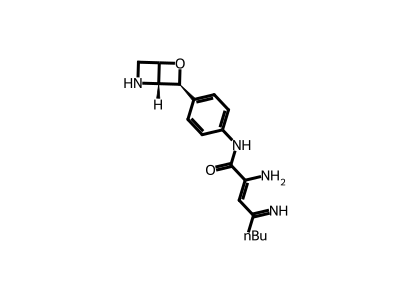 CCCCC(=N)/C=C(\N)C(=O)Nc1ccc([C@@H]2OC3CN[C@H]32)cc1